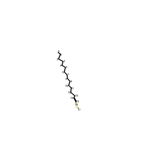 CCCCCCCCCCCCCCC=CSC